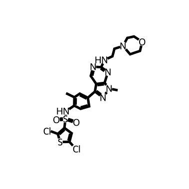 Cc1cc(-c2nn(C)c3nc(NCCN4CCOCC4)ncc23)ccc1NS(=O)(=O)c1cc(Cl)sc1Cl